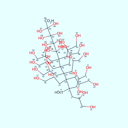 CCCCCCCCC(CC(O)CO)(CC(O)CO)C(CC(O)CO)(CC(O)CO)C(CC(O)CO)(CC(O)CO)C(CC(O)CO)(CC(O)CO)C(CC(O)CO)(CC(O)CO)C(O)(O)C(O)(O)C(O)(O)C(O)(O)C(=O)O